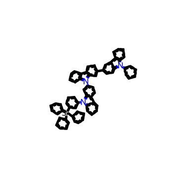 c1ccc(-n2c3ccccc3c3cc(-c4ccc5c6ccccc6n(-c6ccc7c8ccccc8n(-c8cccc([Si](c9ccccc9)(c9ccccc9)c9ccccc9)c8)c7c6)c5c4)ccc32)cc1